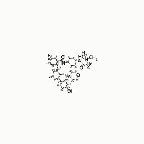 CN(C)C1(C(=O)NC2CCC(NC(=O)c3cc(F)cnc3Oc3cccc(-c4ccc(O)cc4CN4CCOCC4)c3)CC2)CC1